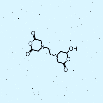 O=C1CN(CCN2CC(=O)OC(O)C2)CC(=O)O1